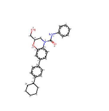 O=C(Nc1ccccc1)N1CC(CO)Oc2cc(-c3ccc(C4CCCCC4)cc3)ccc21